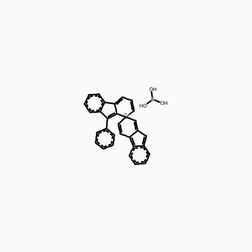 C1=C[C@@]2(C=CC3=c4ccccc4=CC3=C2)C2=C(c3ccccc3)c3ccccc3C2=C1.OB(O)O